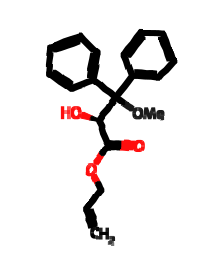 C=CCOC(=O)[C@@H](O)C(OC)(c1ccccc1)c1ccccc1